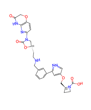 O=C1COc2ccc(N3C[C@H](CCNCc4cccc(-c5cc(OC[C@@H]6CCN6C(=O)O)cnn5)c4)OC3=O)nc2N1